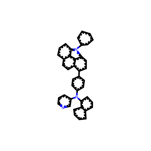 c1ccc(-n2c3cccc4ccc5c(-c6ccc(N(c7cccnc7)c7cccc8ccccc78)cc6)ccc2c5c43)cc1